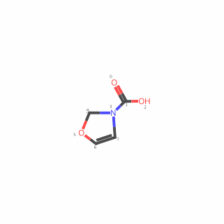 O=C(O)N1[CH]OC=C1